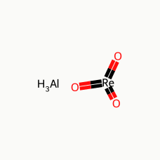 [AlH3].[O]=[Re](=[O])=[O]